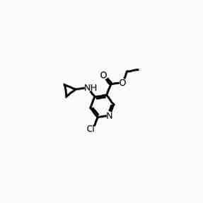 CCOC(=O)c1cnc(Cl)cc1NC1CC1